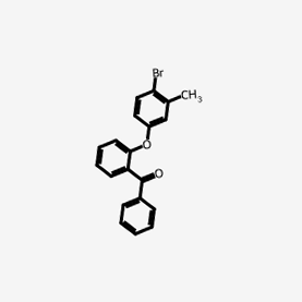 Cc1cc(Oc2ccccc2C(=O)c2ccccc2)ccc1Br